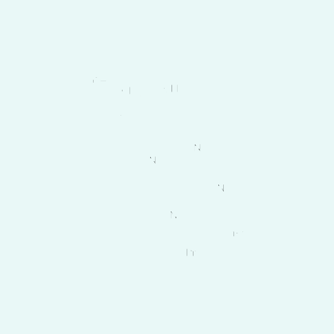 C=CC1(C)c2ccccc2N2c3nc(C(C)C)c(C(C)C)nc3N(c3ccccc3)C2C1C